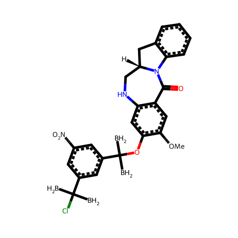 BC(B)(Cl)c1cc([N+](=O)[O-])cc(C(B)(B)Oc2cc3c(cc2OC)C(=O)N2c4ccccc4C[C@H]2CN3)c1